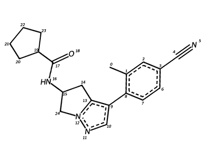 Cc1cc(C#N)ccc1-c1cnn2c1CC(NC(=O)C1CCCC1)C2